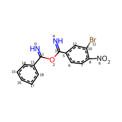 N=C(OC(=N)c1ccc([N+](=O)[O-])c(Br)c1)c1ccccc1